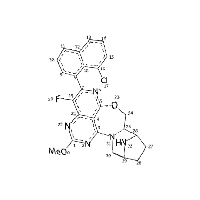 COc1nc2c3c(nc(-c4cccc5cccc(Cl)c45)c(F)c3n1)OCC1C3CCC(CN21)N3